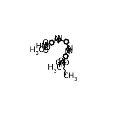 CCCCCN(C(C)=O)S(=O)(=O)c1ccc(-n2cc(-c3cccc(-c4cn(-c5ccc(S(=O)(=O)NC(C)=O)cc5)nn4)c3)nn2)cc1